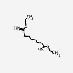 CCSC(=N)CCCCCCC(=N)SCC